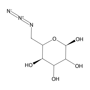 [N-]=[N+]=NCC1O[C@@H](O)C(O)C(O)[C@H]1O